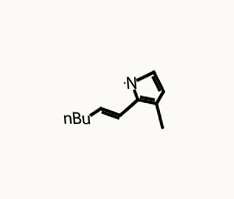 CCCCC=CC1=C(C)C=C[N]1